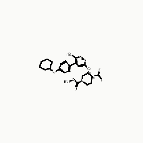 CCCCc1nnc(O[C@H]2CN(C(=O)OC(C)(C)C)CC[C@@H]2C(F)F)cc1-c1ccc(OC2CCCCC2)cc1